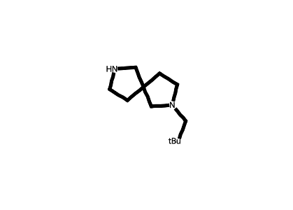 CC(C)(C)CN1CCC2(CCNC2)C1